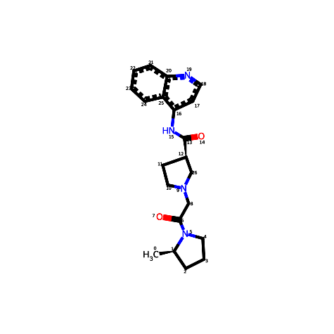 C[C@@H]1CCCN1C(=O)CN1CC[C@@H](C(=O)Nc2ccnc3ccccc23)C1